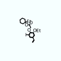 C=Cc1cc(I)c(OCC(=O)OC2(CC)CCCCC2)c(OCC)c1